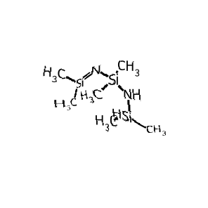 C[Si](C)=N[Si](C)(C)N[SiH](C)C